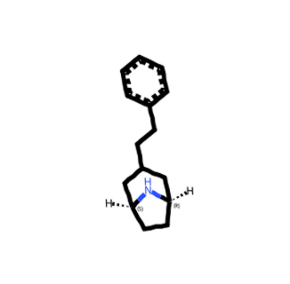 c1ccc(CCC2C[C@H]3CC[C@@H](C2)N3)cc1